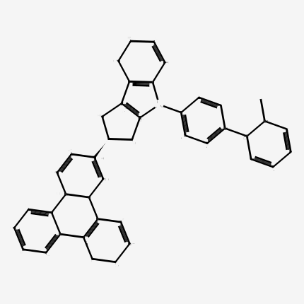 CC1C=CC=CC1c1ccc(-n2c3c(c4c2C[C@@H](C2=CC5C6=C(CCC=C6)c6ccccc6C5C=C2)C4)CCC=C3)cc1